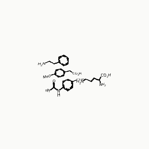 CCCC(=O)Nc1ccc(C=O)cc1.COc1ccc(CC(=O)O)cc1.NCCCC(N)C(=O)O.NCCc1ccccc1